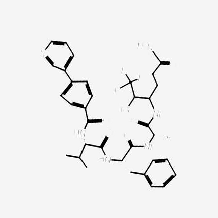 CC(C)[C@H](NC(=O)c1ccc(-c2cccnc2)cc1)C(=O)N[C@@H](Cc1ccccc1)C(=O)N[C@@H](C)C(=O)NC(CCC(N)=O)C(O)C(F)(F)F